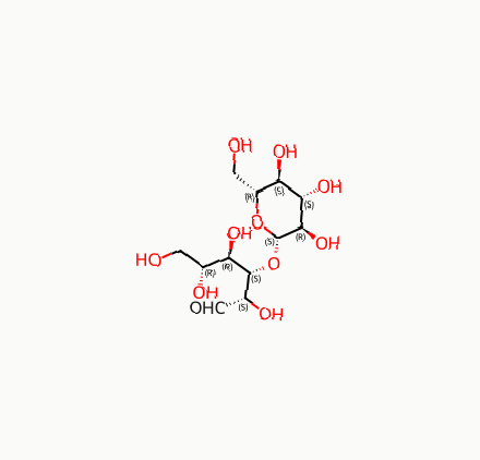 O=C[C@@H](O)[C@@H](O[C@@H]1O[C@H](CO)[C@@H](O)[C@H](O)[C@H]1O)[C@H](O)[C@H](O)CO